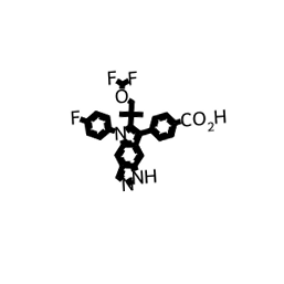 CC(C)(COC(F)F)c1c(-c2ccc(C(=O)O)cc2)c2cc3[nH]ncc3cc2n1-c1ccc(F)cc1